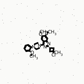 COc1cc2nc([C@H]3C[C@@](C)(Cl)C3)nc(N3CCN(c4ccccc4OC)CC3)c2cc1OC